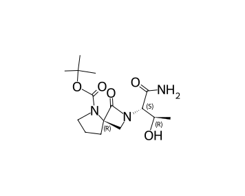 C[C@@H](O)[C@@H](C(N)=O)N1C[C@]2(CCCN2C(=O)OC(C)(C)C)C1=O